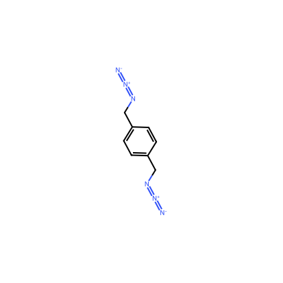 [N-]=[N+]=NCc1ccc(CN=[N+]=[N-])cc1